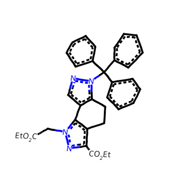 CCOC(=O)Cn1nc(C(=O)OCC)c2c1-c1cnn(C(c3ccccc3)(c3ccccc3)c3ccccc3)c1CC2